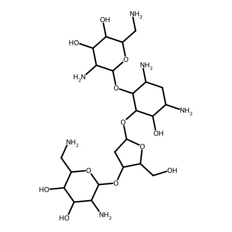 NCC1OC(OC2CC(OC3C(O)C(N)CC(N)C3OC3OC(CN)C(O)C(O)C3N)OC2CO)C(N)C(O)C1O